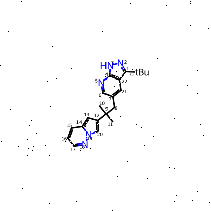 CC(C)(C)c1n[nH]c2ncc(CC(C)(C)c3cc4cccnn4c3)cc12